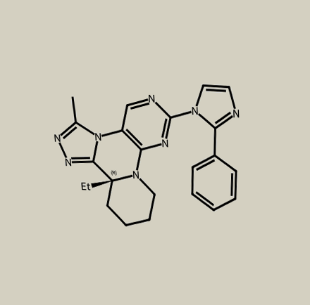 CC[C@]12CCCCN1c1nc(-n3ccnc3-c3ccccc3)ncc1-n1c(C)nnc12